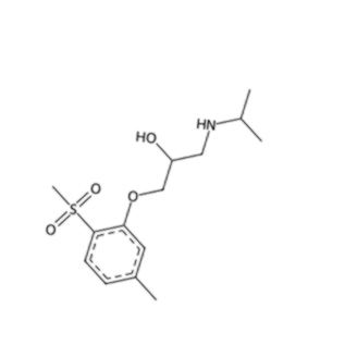 Cc1ccc(S(C)(=O)=O)c(OCC(O)CNC(C)C)c1